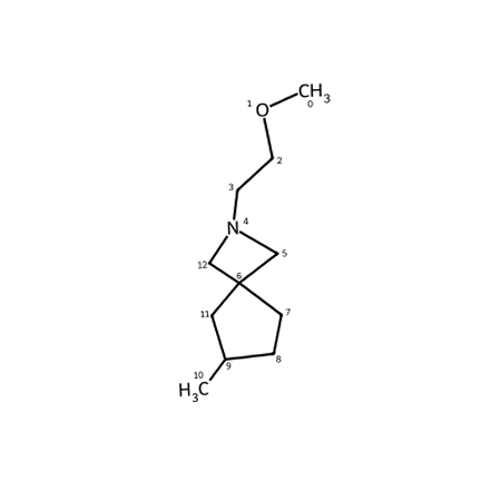 COCCN1CC2(CCC(C)C2)C1